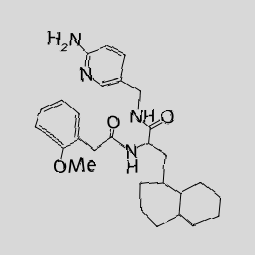 COc1ccccc1CC(=O)NC(CC1CCCC2CCCCC21)C(=O)NCc1ccc(N)nc1